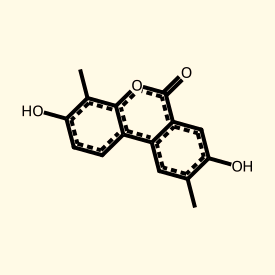 Cc1cc2c(cc1O)c(=O)oc1c(C)c(O)ccc12